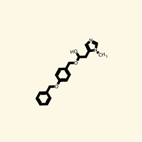 Cn1cncc1CC(O)OCc1ccc(OCc2ccccc2)cc1